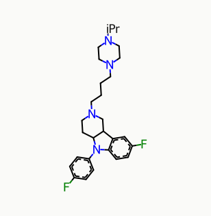 CC(C)N1CCN(CCCCN2CCC3C(C2)c2cc(F)ccc2N3c2ccc(F)cc2)CC1